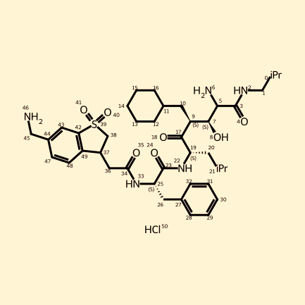 CC(C)CNC(=O)C(N)[C@@H](O)[C@H](CC1CCCCC1)C(=O)[C@H](CC(C)C)NC(=O)[C@H](Cc1ccccc1)NC(=O)CC1CS(=O)(=O)c2cc(CN)ccc21.Cl